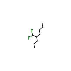 CC[CH]C(CCCC)C(F)F